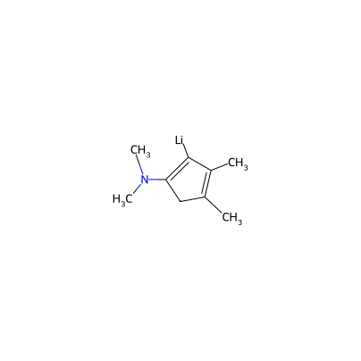 [Li][C]1=C(N(C)C)CC(C)=C1C